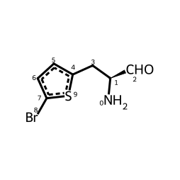 N[C@H](C=O)Cc1ccc(Br)s1